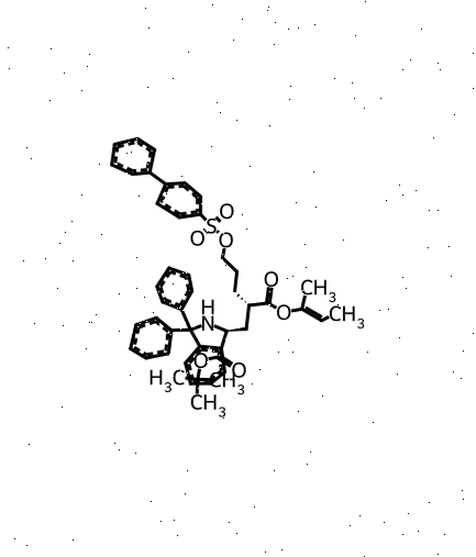 C/C=C(\C)OC(=O)[C@@H](CCCOS(=O)(=O)c1ccc(-c2ccccc2)cc1)C[C@H](NC(c1ccccc1)(c1ccccc1)c1ccccc1)C(=O)OC(C)(C)C